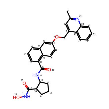 Cc1cc(COc2ccc3c(C(=O)NC4CCCC4C(=O)NO)cccc3c2)c2ccccc2n1